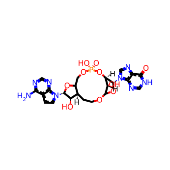 Nc1ncnc2c1ccn2[C@@H]1OC2COP(=O)(O)O[C@@H]3[C@H](O)C(OCC[C@H]2[C@H]1O)O[C@H]3n1cnc2c(=O)[nH]cnc21